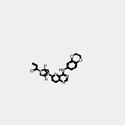 C=CC(=O)N1C[C@@H]2C[C@H]1CN2c1ccc2ncnc(Nc3ccc4c(c3)OCCO4)c2n1